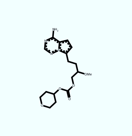 COC(CCc1ccc2c(N)ncnn12)COC(=O)OC1CCOCC1